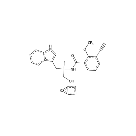 C#Cc1cccc(C(=O)NC(C)(CO)Cc2c[nH]c3ccccc23)c1OC(F)(F)F.c1cc2sc1-2